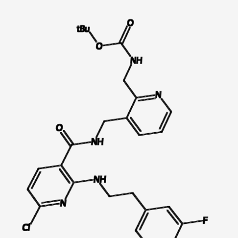 CC(C)(C)OC(=O)NCc1ncccc1CNC(=O)c1ccc(Cl)nc1NCCc1cccc(F)c1